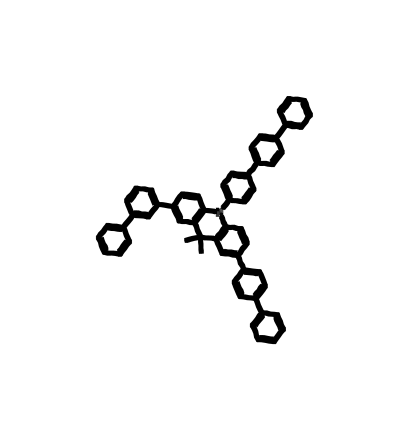 CC1(C)c2cc(-c3ccc(-c4ccccc4)cc3)ccc2N(c2ccc(-c3ccc(-c4ccccc4)cc3)cc2)c2ccc(-c3cccc(-c4ccccc4)c3)cc21